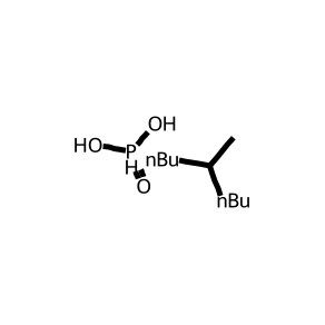 CCCCC(C)CCCC.O=[PH](O)O